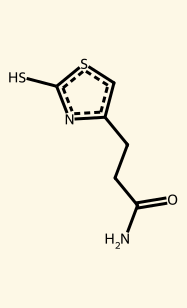 NC(=O)CCc1csc(S)n1